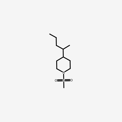 CCCC(C)C1CCN(S(C)(=O)=O)CC1